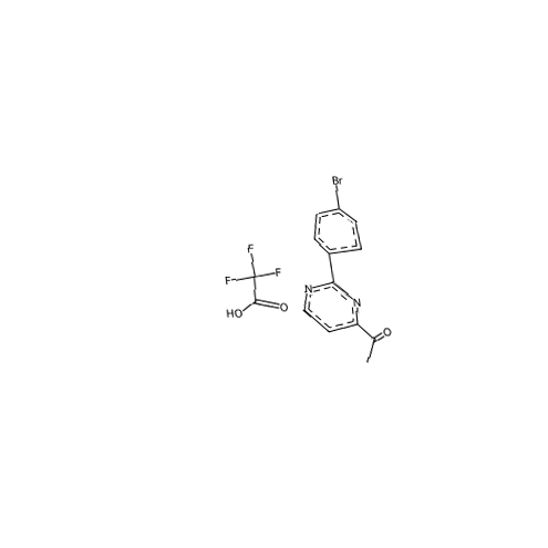 CC(=O)c1ccnc(-c2ccc(Br)cc2)n1.O=C(O)C(F)(F)F